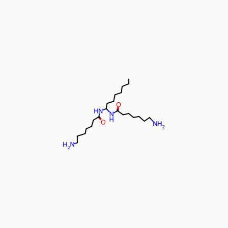 CCCCCCCC(NC(=O)CCCCCCN)NC(=O)CCCCCCN